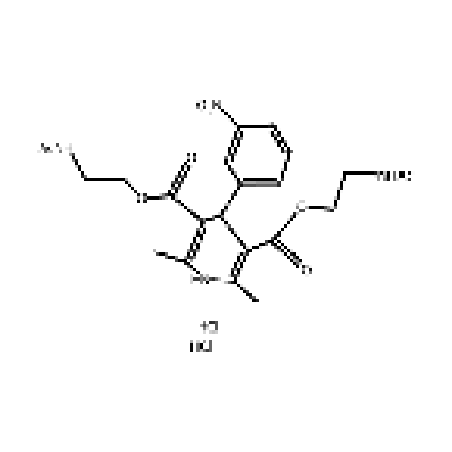 CC(=O)NCCOC(=O)C1=C(C)NC(C)=C(C(=O)OCCNC(C)=O)C1c1cccc([N+](=O)[O-])c1.Cl.Cl